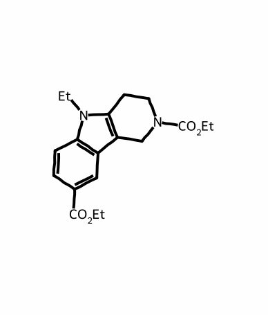 CCOC(=O)c1ccc2c(c1)c1c(n2CC)CCN(C(=O)OCC)C1